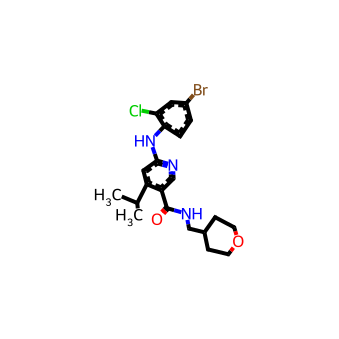 CC(C)c1cc(Nc2ccc(Br)cc2Cl)ncc1C(=O)NCC1CCOCC1